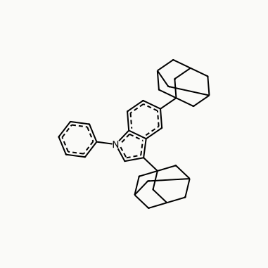 c1ccc(-n2cc(C34CC5CC(CC(C5)C3)C4)c3cc(C45CC6CC(CC(C6)C4)C5)ccc32)cc1